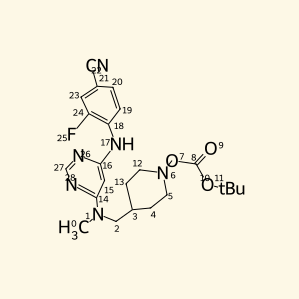 CN(CC1CCN(OC(=O)OC(C)(C)C)CC1)c1cc(Nc2ccc(C#N)cc2F)ncn1